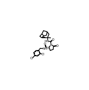 CC1(NC(=O)N2C(=O)CC[C@H]2C(=O)NCc2ccc(Cl)cc2Cl)C=C2CC3CC(CC23)C1